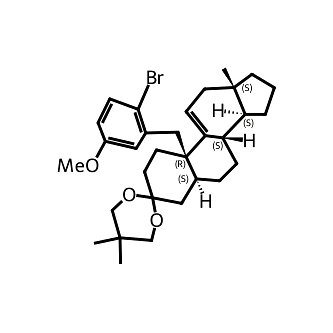 COc1ccc(Br)c(C[C@]23CCC4(C[C@@H]2CC[C@@H]2C3=CC[C@]3(C)CCC[C@@H]23)OCC(C)(C)CO4)c1